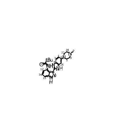 CN1CCN(c2ccc3nc(-c4n[nH]c5cccc(NC(=O)C(C)(C)C)c45)[nH]c3c2)CC1